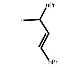 [CH2]C(C=CCCC)CCC